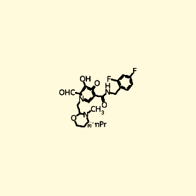 CCC[C@@H]1CCOC(Cn2cc(C(=O)NCc3ccc(F)cc3F)c(=O)c(O)c2C=O)N1C